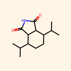 CC(C)C1CCC(C(C)C)C2C(=O)NC(=O)C12